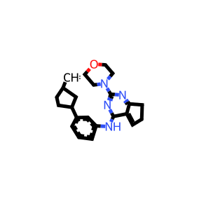 [CH]C1CCC(c2cccc(NC3N=C(N4CCOCC4)N=C4CCC=C43)c2)C1